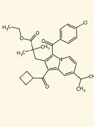 CCOC(=O)C(C)(C)Cc1c(C(=O)C2CCC2)c2cc(C(C)C)ccn2c1C(=O)c1ccc(Cl)cc1